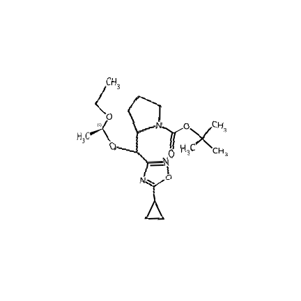 CCO[C@H](C)OC(c1noc(C2CC2)n1)C1CCCN1C(=O)OC(C)(C)C